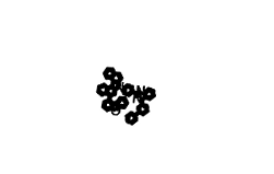 c1ccc(-c2cccc(-c3nc(-c4ccc(-n5c6ccc7ccccc7c6c6c7ccccc7c(-c7cccc8oc9ccccc9c78)cc65)cc4)nc4ccccc34)c2)cc1